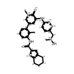 Cc1c(NC(=O)c2cc3c(s2)CCCC3)cccc1-c1cc(Nc2ccc(CN(C)C(C)C)nn2)c(=O)n(C)c1